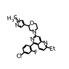 CCc1ccc2c(-c3ccc(Cl)cc3F)nc(N3CCOC(c4cnn(C)c4)C3)cc2n1